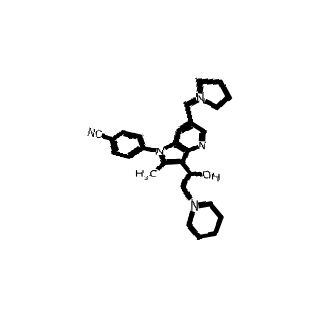 Cc1c(C(O)CN2CCCCC2)c2ncc(CN3CCCC3)cc2n1-c1ccc(C#N)cc1